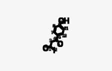 O=C(I)CC(=O)c1ccc(O)cc1